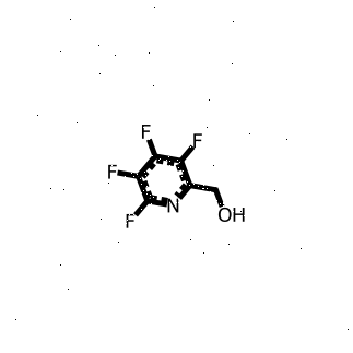 OCc1nc(F)c(F)c(F)c1F